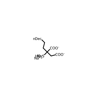 CCCCCCCCCCCCC(CC(=O)[O-])(C(=O)[O-])S(=O)(=O)O.[Na+].[Na+]